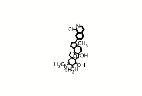 CN(C)[C@H]1C[C@@]23CC[C@]4(O2)C2CC=C(c5ccc6ccnc(Cl)c6c5)[C@@]2(C)CCC4(O)CC3[C@@H](O)[C@@H]1O